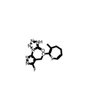 CC1=C(OCc2c(F)nsc2-n2nn[nH]c2=O)SC=CCC1